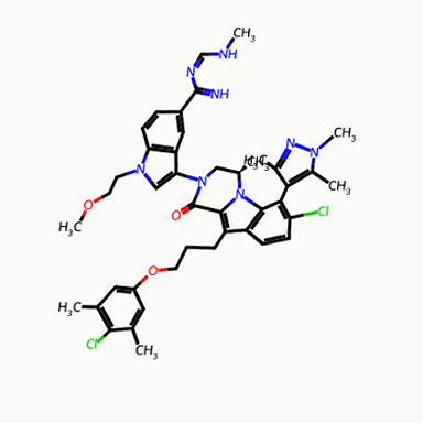 CN/C=N\C(=N)c1ccc2c(c1)c(N1C[C@@H](C)n3c(c(CCCOc4cc(C)c(Cl)c(C)c4)c4ccc(Cl)c(-c5c(C)nn(C)c5C)c43)C1=O)cn2CCOC